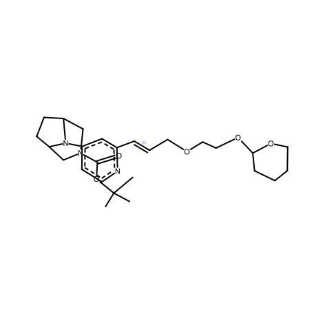 CC(C)(C)OC(=O)N1CC2CCC(C1)N2c1ccnc(/C=C/COCCOC2CCCCO2)c1